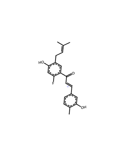 CC(C)=CCc1cc(C(=O)/C=C/c2ccc(C)c(O)c2)c(F)cc1O